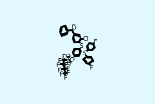 Fc1ccc(Sc2ccc(F)cc2)cc1.O=C(c1ccccc1)c1ccc(Sc2ccc(OS(=O)(=O)C(F)(F)C(F)(F)C(F)(F)C(F)(F)F)cc2)c(Cl)c1